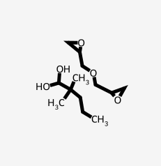 C(OCC1CO1)C1CO1.CCCC(C)(C)C(O)O